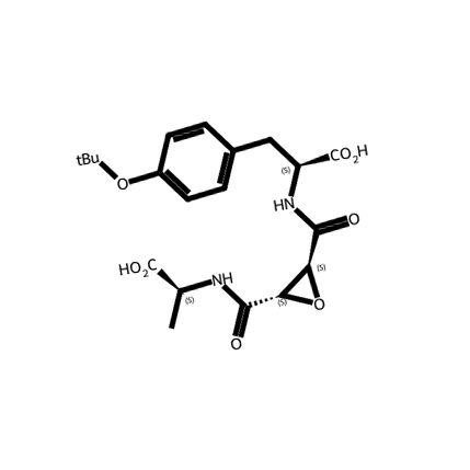 C[C@H](NC(=O)[C@H]1O[C@@H]1C(=O)N[C@@H](Cc1ccc(OC(C)(C)C)cc1)C(=O)O)C(=O)O